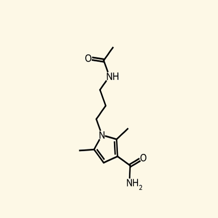 CC(=O)NCCCn1c(C)cc(C(N)=O)c1C